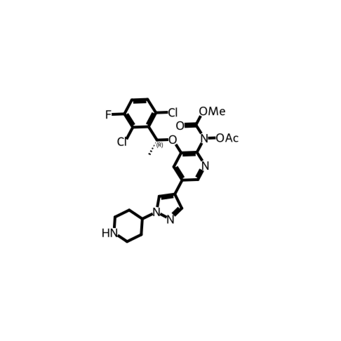 COC(=O)N(OC(C)=O)c1ncc(-c2cnn(C3CCNCC3)c2)cc1O[C@H](C)c1c(Cl)ccc(F)c1Cl